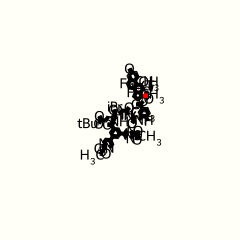 CC(C)[C@H](NC(=O)[C@H](CCC(=O)OC(C)(C)C)NC(=O)c1cc(-c2cnc(S(C)(=O)=O)nc2)cc(-c2cnc(S(C)(=O)=O)nc2)c1)C(=O)N[C@@H](C)C(=O)Nc1cc(C(=O)O[C@]2(C(=O)SCF)CC[C@H]3[C@@H]4C[C@H](F)C5=CC(=O)C=C[C@]5(C)[C@@]4(F)[C@@H](O)C[C@@]32C)ccc1F